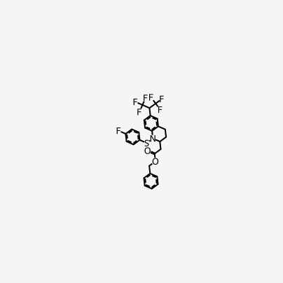 O=C(CC1CCc2cc(C(C(F)(F)F)C(F)(F)F)ccc2N1Sc1ccc(F)cc1)OCc1ccccc1